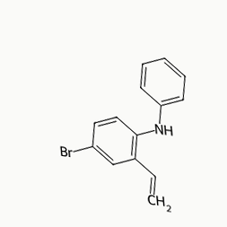 C=Cc1cc(Br)ccc1Nc1ccccc1